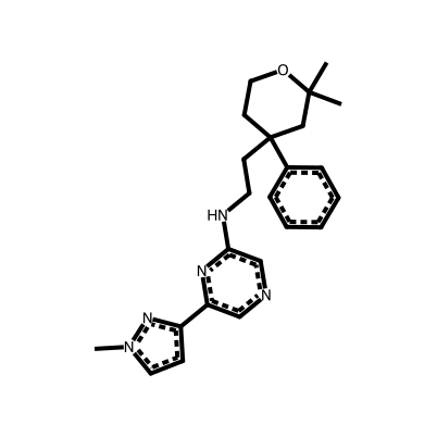 Cn1ccc(-c2cncc(NCCC3(c4ccccc4)CCOC(C)(C)C3)n2)n1